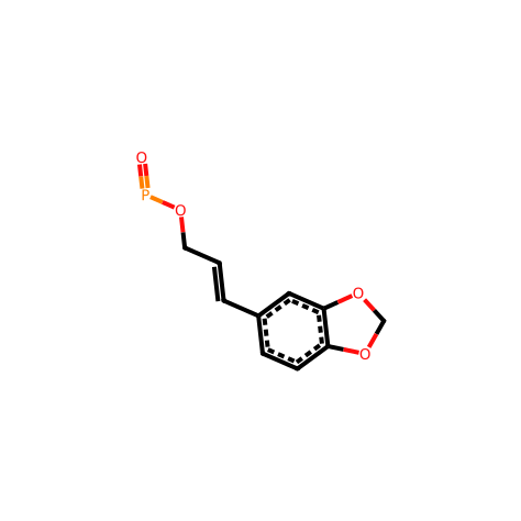 O=POCC=Cc1ccc2c(c1)OCO2